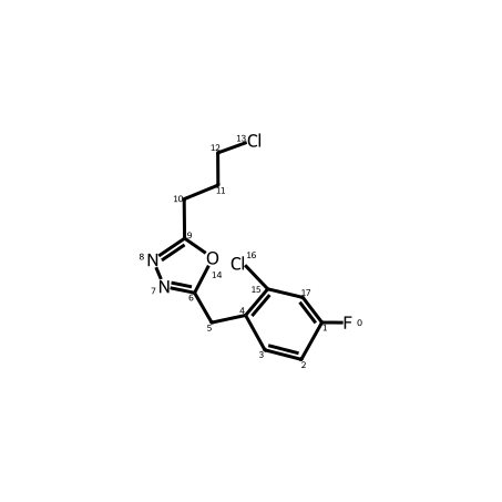 Fc1ccc(Cc2nnc(CCCCl)o2)c(Cl)c1